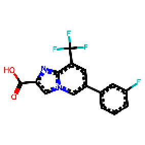 O=C(O)c1cn2cc(-c3cccc(F)c3)cc(C(F)(F)F)c2n1